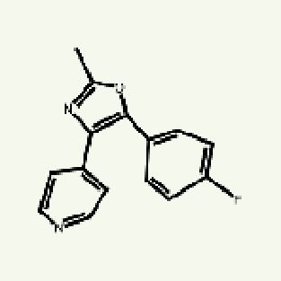 Cc1nc(-c2ccncc2)c(-c2ccc(F)cc2)o1